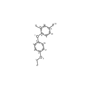 CCOc1ccc(Oc2ccc(F)cc2C)cc1